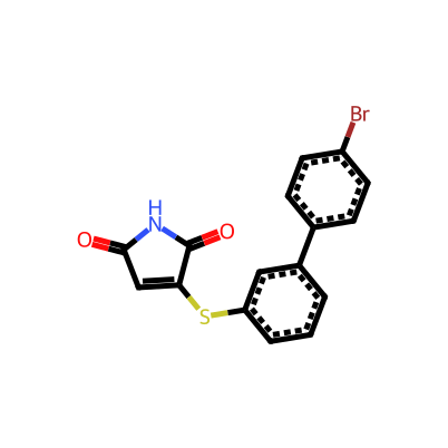 O=C1C=C(Sc2cccc(-c3ccc(Br)cc3)c2)C(=O)N1